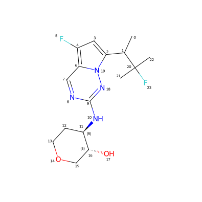 CC(c1cc(F)c2cnc(N[C@@H]3CCOC[C@H]3O)nn12)C(C)(C)F